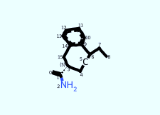 C=C(N)[C@H]1CCC(CC)c2ccccc2C1